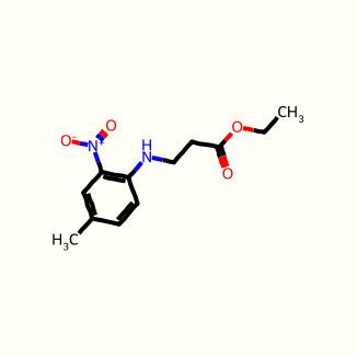 CCOC(=O)CCNc1ccc(C)cc1[N+](=O)[O-]